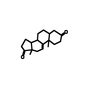 CC12CCC(=O)CC1CCC1C2=CCC2(C)C(=O)CCC12